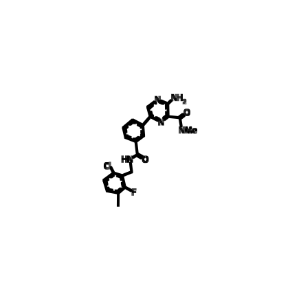 CNC(=O)c1nc(-c2cccc(C(=O)NCc3c(Cl)ccc(C)c3F)c2)cnc1N